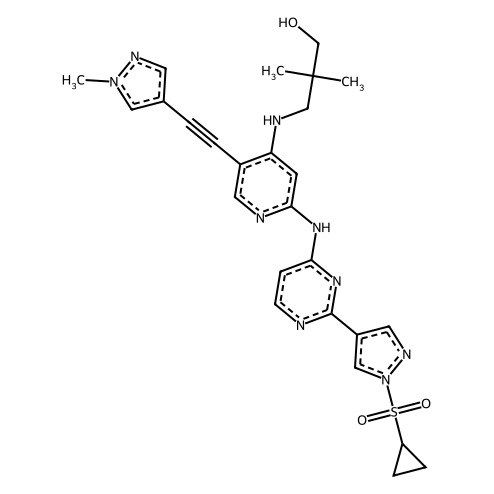 Cn1cc(C#Cc2cnc(Nc3ccnc(-c4cnn(S(=O)(=O)C5CC5)c4)n3)cc2NCC(C)(C)CO)cn1